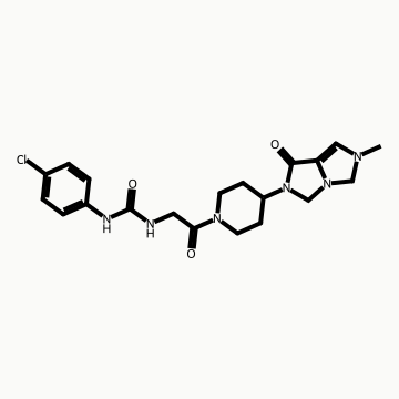 CN1C=C2C(=O)N(C3CCN(C(=O)CNC(=O)Nc4ccc(Cl)cc4)CC3)CN2C1